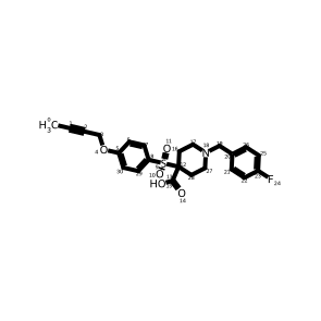 CC#CCOc1ccc(S(=O)(=O)C2(C(=O)O)CCN(Cc3ccc(F)cc3)CC2)cc1